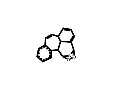 C1=CC2C=Cc3ccccc3C3C4NC(OO4)C(=C1)C23